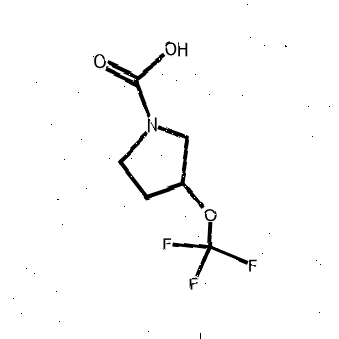 O=C(O)N1CCC(OC(F)(F)F)C1